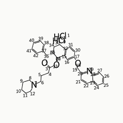 Cl.Cl.O=C(CCCN1CCCCC1)O[C@@H]1c2cc(OCc3ccc4ccccc4n3)ccc2CC[C@H]1Cc1ccccc1